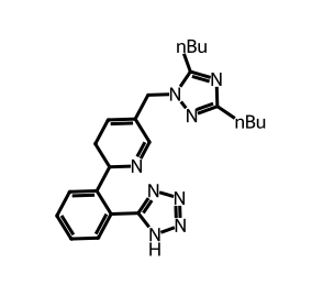 CCCCc1nc(CCCC)n(CC2=CCC(c3ccccc3-c3nnn[nH]3)N=C2)n1